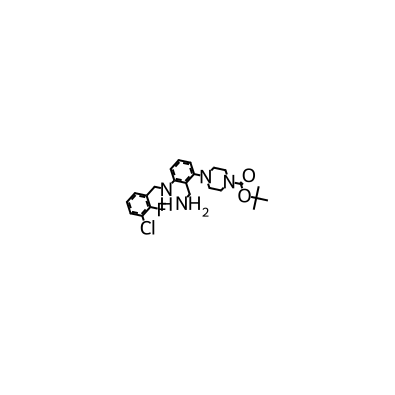 CC(C)(C)OC(=O)N1CCN(c2cccc(NCc3cccc(Cl)c3F)c2CN)CC1